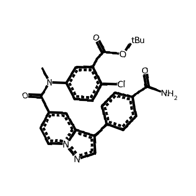 CN(C(=O)c1ccn2ncc(-c3ccc(C(N)=O)cc3)c2c1)c1ccc(Cl)c(C(=O)OC(C)(C)C)c1